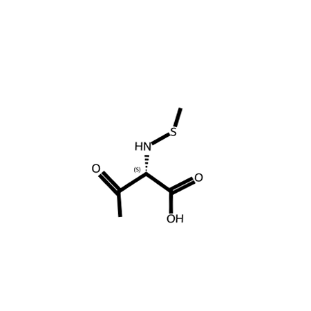 CSN[C@@H](C(C)=O)C(=O)O